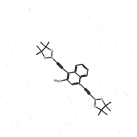 COc1cc(C#CB2OC(C)(C)C(C)(C)O2)c2ccccc2c1C#CB1OC(C)(C)C(C)(C)O1